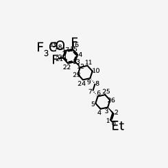 CC/C=C/[C@H]1CC[C@H](CC[C@H]2CC[C@H](c3cc(F)c(OC(F)(F)F)c(F)c3)CC2)CC1